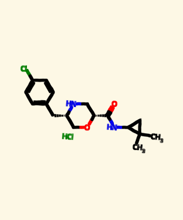 CC1(C)CC1NC(=O)[C@H]1CN[C@@H](Cc2ccc(Cl)cc2)CO1.Cl